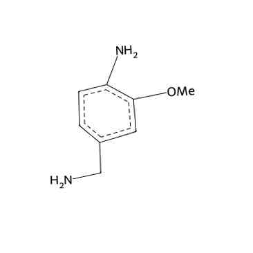 COc1cc(CN)ccc1N